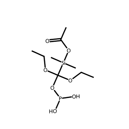 CCOC(OCC)(OP(O)O)[Si](C)(C)OC(C)=O